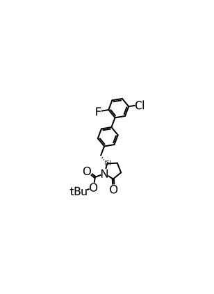 CC(C)(C)OC(=O)N1C(=O)CC[C@H]1Cc1ccc(-c2cc(Cl)ccc2F)cc1